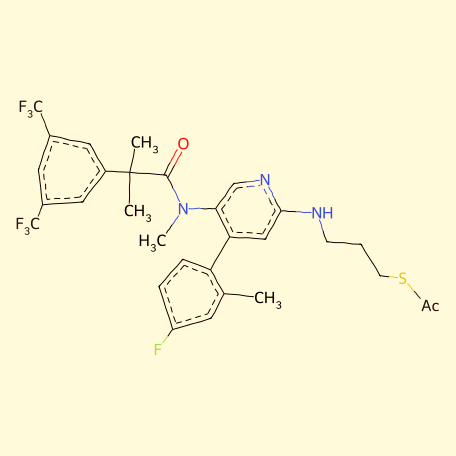 CC(=O)SCCCNc1cc(-c2ccc(F)cc2C)c(N(C)C(=O)C(C)(C)c2cc(C(F)(F)F)cc(C(F)(F)F)c2)cn1